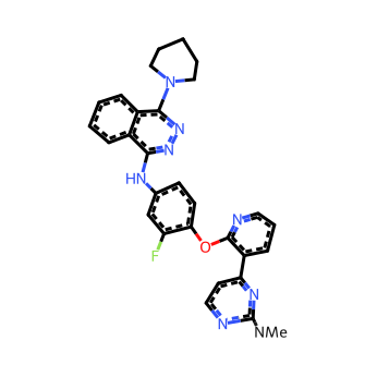 CNc1nccc(-c2cccnc2Oc2ccc(Nc3nnc(N4CCCCC4)c4ccccc34)cc2F)n1